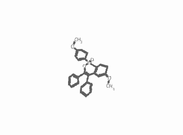 COc1ccc(P2(=O)OC(c3ccccc3)=C(c3ccccc3)c3cc(OC)ccc32)cc1